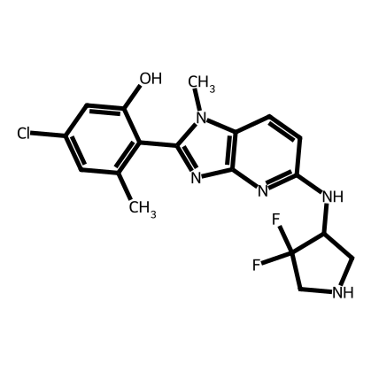 Cc1cc(Cl)cc(O)c1-c1nc2nc(NC3CNCC3(F)F)ccc2n1C